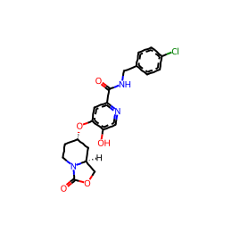 O=C(NCc1ccc(Cl)cc1)c1cc(O[C@H]2CCN3C(=O)OC[C@@H]3C2)c(O)cn1